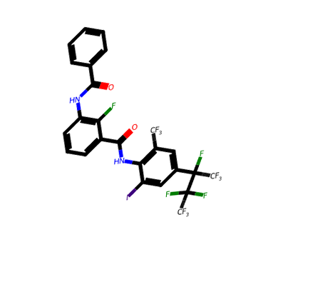 O=C(Nc1cccc(C(=O)Nc2c(I)cc(C(F)(C(F)(F)F)C(F)(F)C(F)(F)F)cc2C(F)(F)F)c1F)c1ccccc1